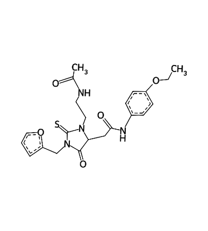 CCOc1ccc(NC(=O)CC2C(=O)N(Cc3ccco3)C(=S)N2CCNC(C)=O)cc1